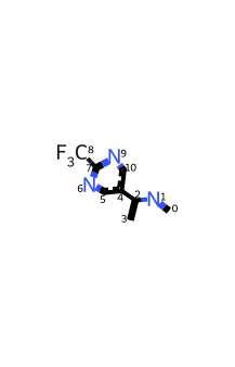 C=NC(=C)c1cnc(C(F)(F)F)nc1